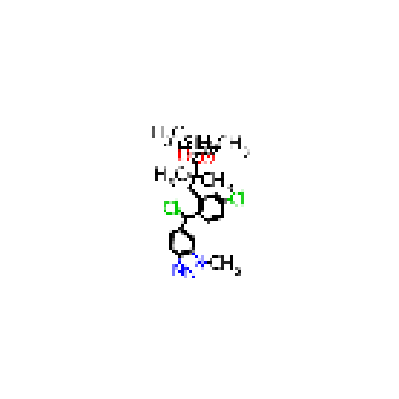 C[SiH2]OC(O[SiH2]C)C(C)(C)Cc1cc(Cl)ccc1C(Cl)c1ccc2nnn(C)c2c1